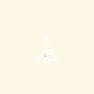 COC(=O)N(C(=O)c1c(Cl)cc(OCc2nc3ccccc3s2)cc1Cl)c1ccccc1C